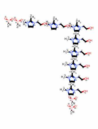 Cc1n(C)cc[n+]1CCO.Cc1n(C)cc[n+]1CCO.Cc1n(C)cc[n+]1CCO.Cc1n(C)cc[n+]1CCO.Cc1n(C)cc[n+]1CCO.Cc1n(C)cc[n+]1CCO.Cc1n(C)cc[n+]1CCO.Cc1n(C)cc[n+]1CCO.N#CB([O-])[O-].N#CB([O-])[O-].N#CB([O-])[O-].N#CB([O-])[O-]